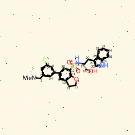 CNCc1cc(F)cc(-c2cc3c(c(S(=O)(=O)N[C@@H](CO)Cc4c[nH]c5ccccc45)c2)OCC3)c1